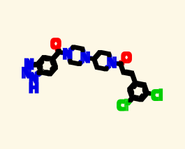 O=C(C=Cc1cc(Cl)cc(Cl)c1)N1CCC(N2CCN(C(=O)c3ccc4[nH]nnc4c3)CC2)CC1